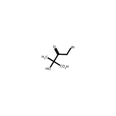 CC(C)CC(=O)C(C)(O)C(=O)O